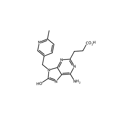 Cc1ccc(Cn2c(O)nc3c(N)nc(CCC(=O)O)nc32)cn1